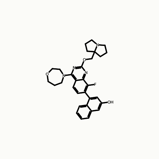 Oc1cc(-c2ccc3c(N4CCCOCC4)nc(OCC45CCCN4CCC5)nc3c2F)c2ccccc2c1